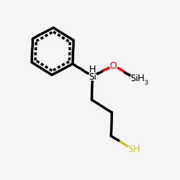 [SiH3]O[SiH](CCCS)c1ccccc1